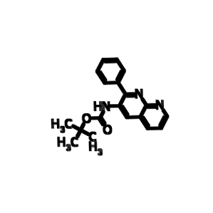 CC(C)(C)OC(=O)Nc1cc2cccnc2nc1-c1ccccc1